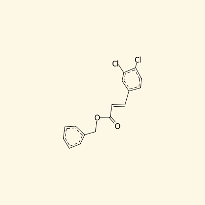 O=C(C=Cc1ccc(Cl)c(Cl)c1)OCc1ccccc1